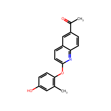 CC(=O)c1ccc2nc(Oc3ccc(O)cc3C)ccc2c1